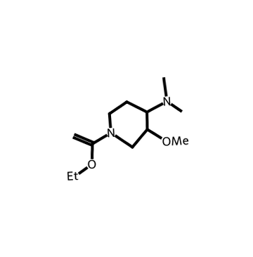 C=C(OCC)N1CCC(N(C)C)C(OC)C1